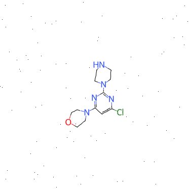 Clc1cc(N2CCOCC2)nc(N2CCNCC2)n1